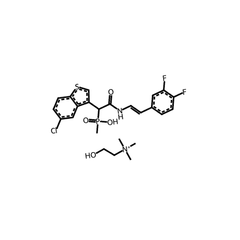 CP(=O)(O)C(C(=O)NC=Cc1ccc(F)c(F)c1)c1csc2ccc(Cl)cc12.C[N+](C)(C)CCO